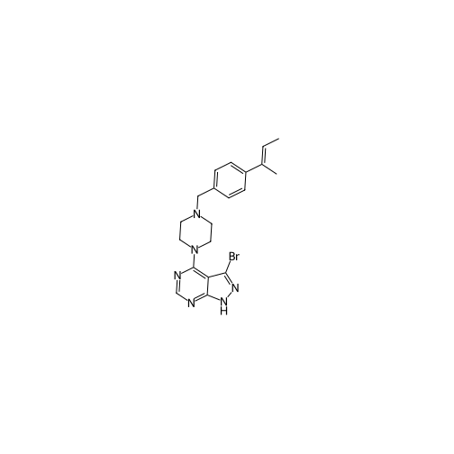 C/C=C(\C)c1ccc(CN2CCN(c3ncnc4[nH]nc(Br)c34)CC2)cc1